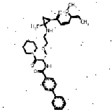 C=C(/C=C\C(=C/C)OC)[C@@H]1C[C@@]1(C)NCCOC[C@H](NC(=O)c1ccc(-c2ccccc2)cc1)C(=O)N1CCCCC1